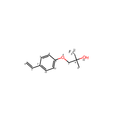 C=Cc1ccc(OCC(C)(O)C(F)(F)F)cc1